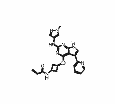 C=CC(=O)NC1CC(Oc2nc(Nc3cnn(C)c3)nc3[nH]cc(-c4ccccn4)c23)C1